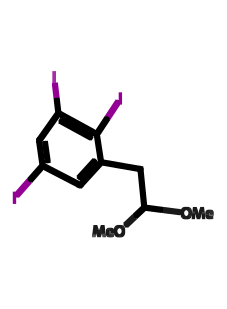 COC(Cc1cc(I)cc(I)c1I)OC